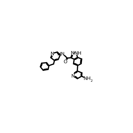 Nc1cncc(-c2ccc3[nH]nc(C(=O)Nc4cncc(Cc5ccccc5)c4)c3c2)c1